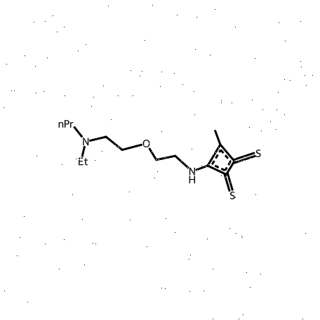 CCCN(CC)CCOCCNc1c(C)c(=S)c1=S